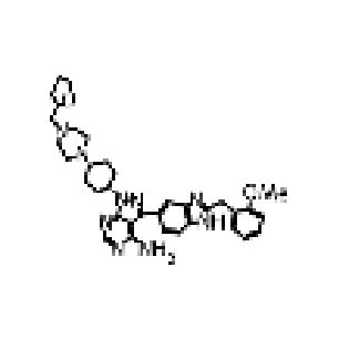 COc1ccccc1Cc1nc2cc(-c3nn([C@H]4CC[C@@H](N5CCN(CC6CCCO6)CC5)CC4)c4ncnc(N)c34)ccc2[nH]1